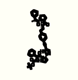 C[C@@H](C(=O)N1CCC[C@H]1C(=O)NCCc1ccc(C#Cc2cnc([C@@H]3CCCN3C(=O)[C@H](NC(=O)OC(C)(C)C)c3ccccc3)[nH]2)cc1)c1ccccc1